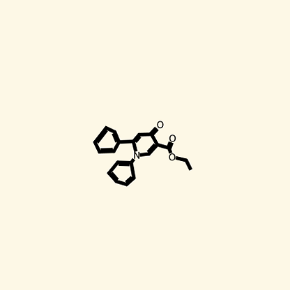 CCOC(=O)c1cn(-c2ccccc2)c(-c2ccccc2)cc1=O